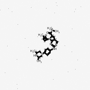 CC1CN(c2ccc(Nc3ncc4cc(C(=O)N(C)C)n(C56CC(C5)[C@H]6C)c4n3)cc2)CC(C)N1